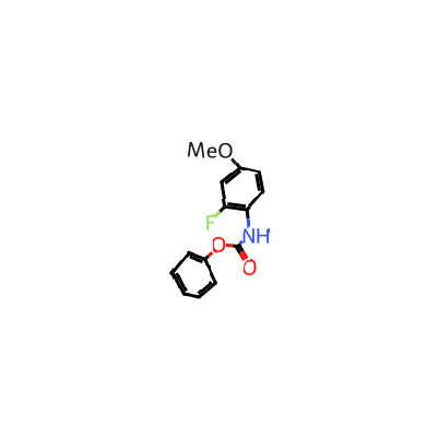 COc1ccc(NC(=O)Oc2ccccc2)c(F)c1